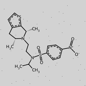 CC(C)N(CCN1[C@H](C)Cc2ccsc2[C@@H]1C)S(=O)(=O)c1ccc([N+](=O)[O-])cc1